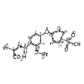 CCCC(=NNc1ccc(Oc2ccc(S(C)(=O)=O)cn2)cc1OC(C)C)C(=O)O